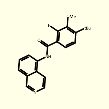 COc1c(C(C)(C)C)ccc(C(=O)Nc2cccc3cnccc23)c1F